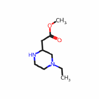 CCN1CCNC(CC(=O)OC)C1